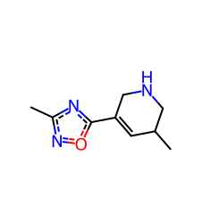 Cc1noc(C2=CC(C)CNC2)n1